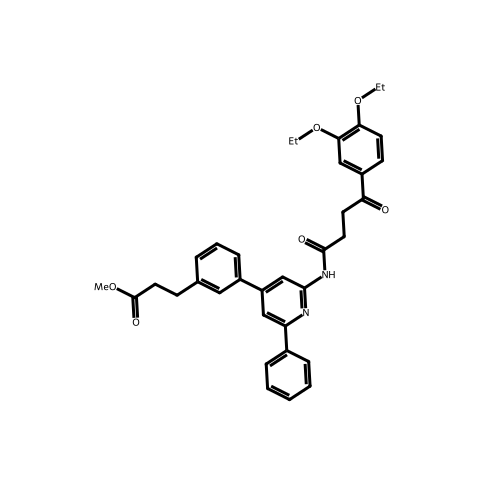 CCOc1ccc(C(=O)CCC(=O)Nc2cc(-c3cccc(CCC(=O)OC)c3)cc(-c3ccccc3)n2)cc1OCC